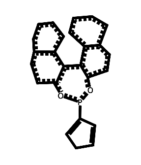 C1=CC(p2oc3ccc4ccccc4c3c3c(ccc4ccccc43)o2)=CC1